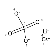 O=S(=O)([O-])[O-].[Cs+].[Li+]